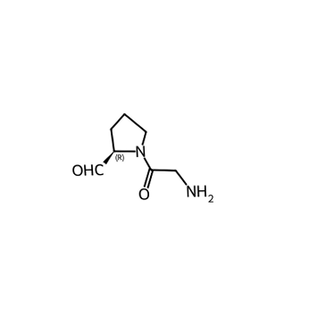 NCC(=O)N1CCC[C@@H]1C=O